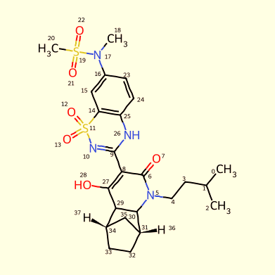 CC(C)CCN1C(=O)C(C2=NS(=O)(=O)c3cc(N(C)S(C)(=O)=O)ccc3N2)=C(O)C2C1[C@@H]1CC[C@H]2C1